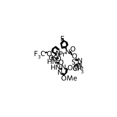 CC(C)N(C(=O)COc1nnc(C(F)(F)F)s1)c1ccc(F)cc1.COc1cc(OC)nc(NC(=O)NS(=O)(=O)c2ncccc2OCC(F)(F)F)n1